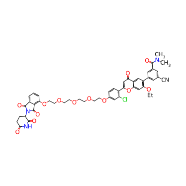 CCOc1cc2oc(-c3ccc(OCCOCCOCCOCCOc4cccc5c4C(=O)N(C4CCC(=O)NC4=O)C5=O)cc3Cl)cc(=O)c2cc1-c1cc(C#N)cc(C(=O)N(C)C)c1